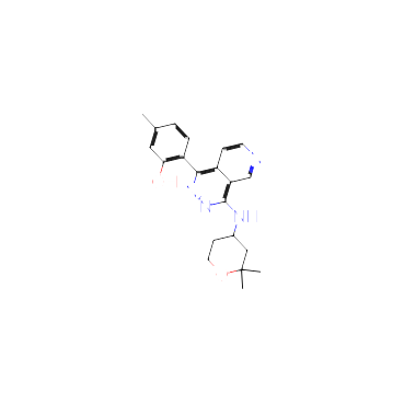 Cc1ccc(-c2nnc(NC3CCOC(C)(C)C3)c3cnccc23)c(O)c1